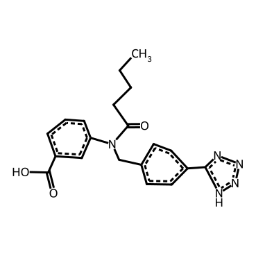 CCCCC(=O)N(Cc1ccc(-c2nnn[nH]2)cc1)c1cccc(C(=O)O)c1